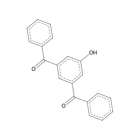 O=C(c1ccccc1)c1cc(O)cc(C(=O)c2ccccc2)c1